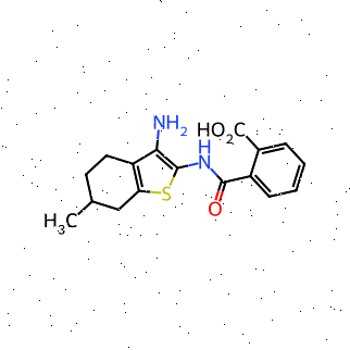 CC1CCc2c(sc(NC(=O)c3ccccc3C(=O)O)c2N)C1